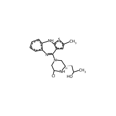 Cc1cc2c(s1)Nc1ccccc1N=C2N1CC(Cl)N[C@@H](CC(C)O)C1